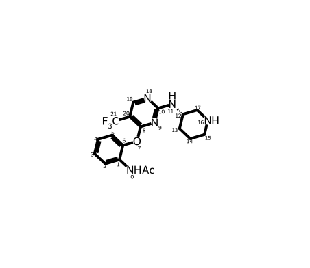 CC(=O)Nc1ccccc1Oc1nc(N[C@H]2CCCNC2)ncc1C(F)(F)F